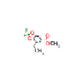 CCc1cc(C(=O)OC)cc2c1OC(F)(F)O2